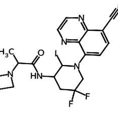 CC(C(=O)NC1CC(F)(F)CN(c2ccc(C#N)c3nccnc23)C1I)N1CCC1